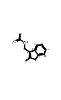 CC(=O)OCC1=C(C)Cc2ccccc21